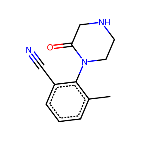 Cc1cccc(C#N)c1N1CCNCC1=O